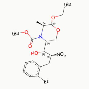 CCc1ccccc1C[C@@H]([C@H](O)[C@H]1CO[C@@H](OCC(C)(C)C)[C@H](C)N1C(=O)OC(C)(C)C)[N+](=O)[O-]